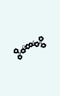 c1ccc(N(c2ccccc2)c2ccc3c(c2)oc2cc4cc5sc6cc(N(c7ccccc7)c7ccccc7)ccc6c5cc4cc23)cc1